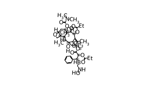 CCC(=O)O[C@H]1C(=O)[C@]2(C)[C@@H](OC(=O)N(C)C)C[C@H]3OC[C@@]3(C)[C@H]2[C@H](C)[C@]2(O)C[C@H](OC(=O)[C@H](OC(=O)CC)[C@@H](BCNO)c3ccccc3)C(C)=C1C2(C)C